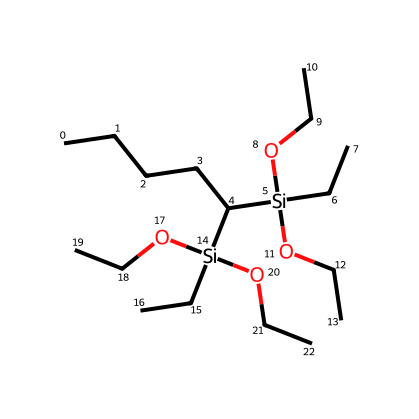 CCCCC([Si](CC)(OCC)OCC)[Si](CC)(OCC)OCC